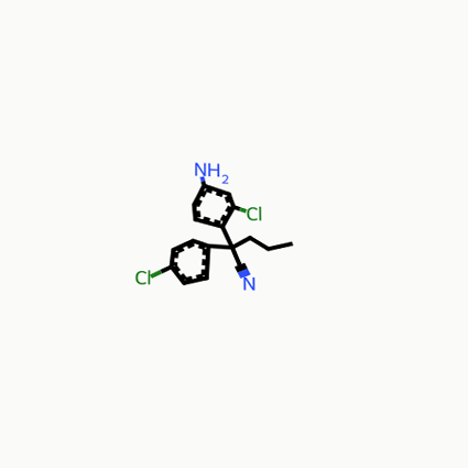 CCCC(C#N)(c1ccc(Cl)cc1)c1ccc(N)cc1Cl